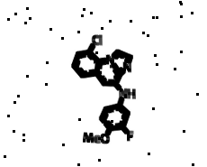 COc1ccc(Nc2cc3cccc(Cl)c3n3ccnc23)cc1F